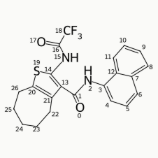 O=C(Nc1cccc2ccccc12)c1c(NC(=O)C(F)(F)F)sc2c1CCCCC2